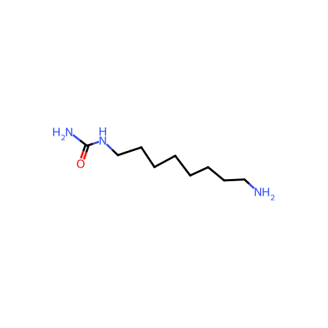 NCCCCCCCCNC(N)=O